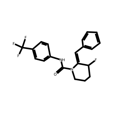 O=C(Nc1ccc(C(F)(F)F)cc1)N1CCCC(F)C1=Cc1ccccc1